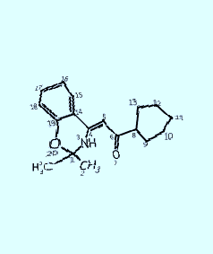 CC1(C)N/C(=C\C(=O)C2CCCCC2)c2ccccc2O1